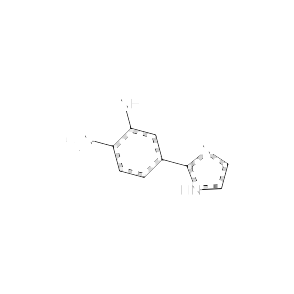 Nc1cc(-c2ncc[nH]2)ccc1[N+](=O)[O-]